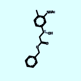 CC(=O)Nc1cc([C@H](O)CC(=O)OCc2ccccc2)ccc1C